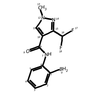 Bc1ccccc1NC(=O)c1cn(C)nc1C(F)F